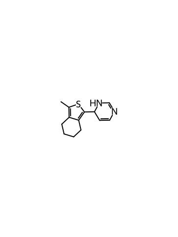 Cc1sc(C2C=CN=CN2)c2c1CCCC2